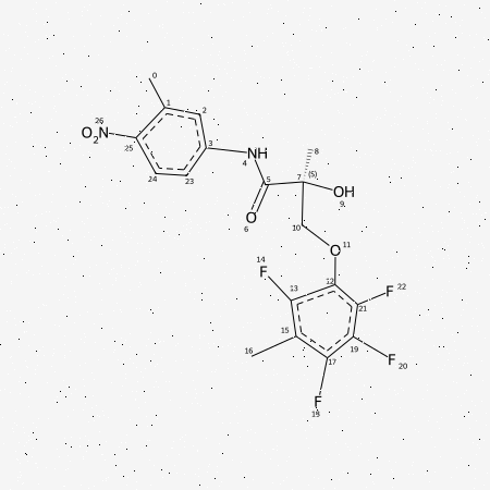 Cc1cc(NC(=O)[C@@](C)(O)COc2c(F)c(C)c(F)c(F)c2F)ccc1[N+](=O)[O-]